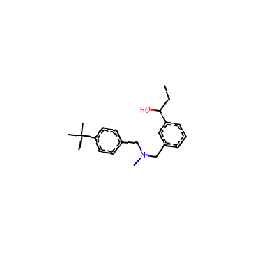 CCC(O)c1cccc(CN(C)Cc2ccc(C(C)(C)C)cc2)c1